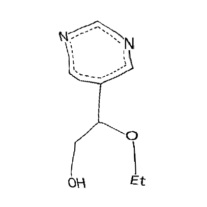 CCOC(CO)c1cncnc1